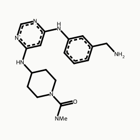 CNC(=O)N1CCC(Nc2cc(Nc3cccc(CN)c3)ncn2)CC1